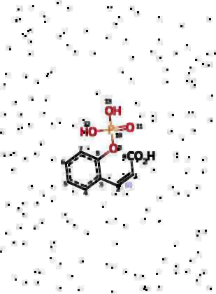 O=C(O)/C=C\c1ccccc1OP(=O)(O)O